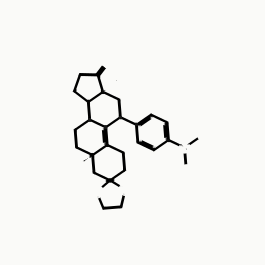 CN(C)c1ccc(C2C[C@]3(C)C(=O)CCC3C3CC[C@@]4(O)CC5(CCC4=C23)OCCO5)cc1